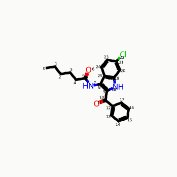 CCCCCC(=O)Nc1c(C(=O)c2ccccc2)[nH]c2cc(Cl)ccc12